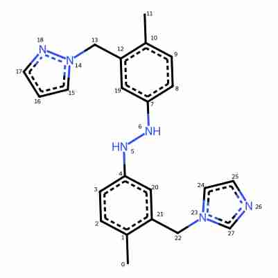 Cc1ccc(NNc2ccc(C)c(Cn3cccn3)c2)cc1Cn1ccnc1